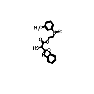 CCN(CCOC(=O)C(S)c1nc2ccccc2o1)c1cccc(C)c1